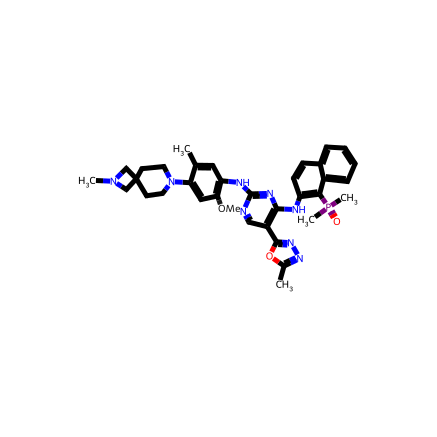 COc1cc(N2CCC3(CC2)CN(C)C3)c(C)cc1Nc1ncc(-c2nnc(C)o2)c(Nc2ccc3ccccc3c2P(C)(C)=O)n1